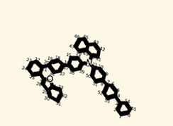 c1ccc(-c2ccc(-c3ccc(N(c4ccc(-c5ccc(-c6ccccc6-c6cc7ccccc7o6)cc5)cc4)c4cccc5ccccc45)cc3)cc2)cc1